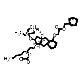 CCCCC[C@@H](CC[C@H]1C(O[Si](CC)(CC)CC)C[C@@H]2Cc3c(cccc3OCC(=O)OCc3ccccc3)C[C@@H]21)OC(=O)Cl